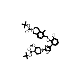 CO[C@H]1CN(c2nc(-c3cccc(Cl)c3OCc3ccc4c(c3C)CCN(C(=O)OC(C)(C)C)C4)cs2)CC[C@H]1C(=O)OC(C)(C)C